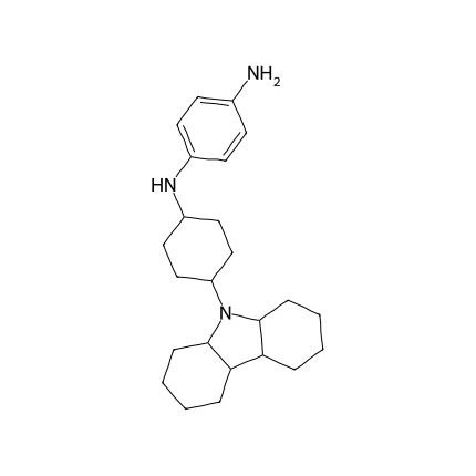 Nc1ccc(NC2CCC(N3C4CCCCC4C4CCCCC43)CC2)cc1